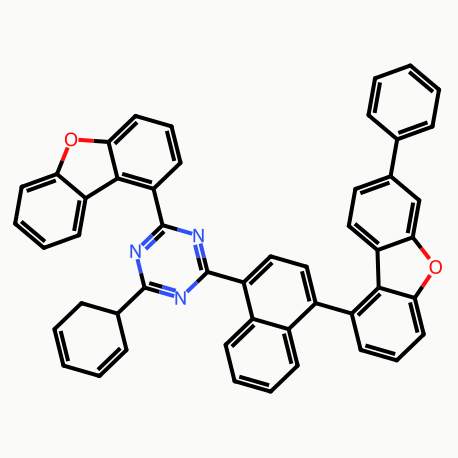 C1=CCC(c2nc(-c3ccc(-c4cccc5oc6cc(-c7ccccc7)ccc6c45)c4ccccc34)nc(-c3cccc4oc5ccccc5c34)n2)C=C1